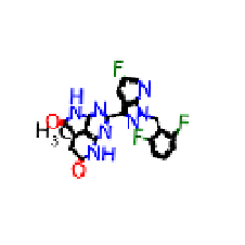 CC12CC(=O)Nc3nc(-c4nn(Cc5c(F)cccc5F)c5ncc(F)cc45)nc(c31)NC2=O